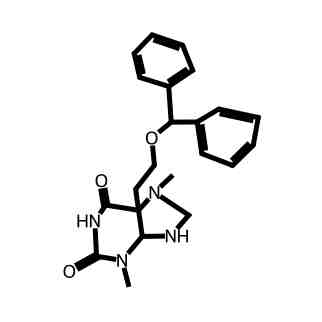 CN1C(=O)NC(=O)C2(CCOC(c3ccccc3)c3ccccc3)C1NCN2C